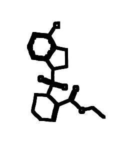 CCOC(=O)C1=CCCCC1S(=O)(=O)C1CCc2c(Cl)cccc21